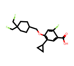 O=C(O)c1cc(C2CC2)c(OCC2CCC(CF)(CF)CC2)cc1F